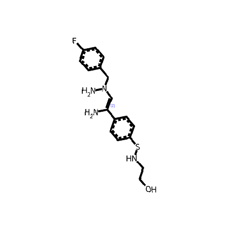 N/C(=C\N(N)Cc1ccc(F)cc1)c1ccc(SNCCO)cc1